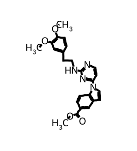 COC(=O)c1ccc2c(ccn2-c2ccnc(NCCc3ccc(OC)c(OC)c3)n2)c1